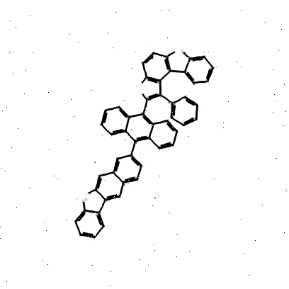 c1ccc(-c2c(-c3c4ccccc4c(-c4ccc5cc6c(cc5c4)oc4ccccc46)c4ccccc34)sc3ccc4sc5ccccc5c4c23)cc1